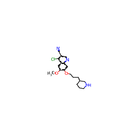 COc1cc2c(Cl)c(C#N)cnc2cc1OCCCC1CCCNC1